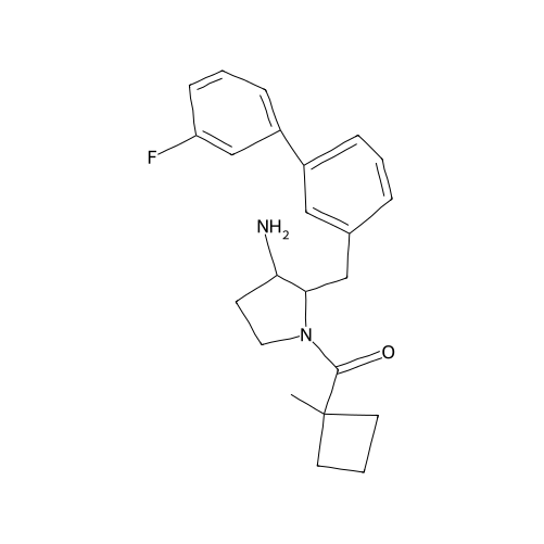 CC1(C(=O)N2CCC(N)C2Cc2cccc(-c3cccc(F)c3)c2)CCC1